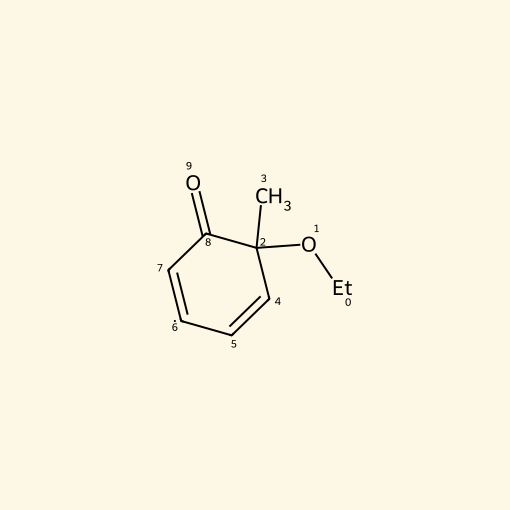 CCOC1(C)C=C[C]=CC1=O